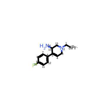 C[C](C)CN1CC=C(c2ccc(F)cc2)C(N)C1